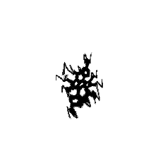 N#CC(C#N)=C1C(C#N)=C(C#N)c2c1c(-c1ccc(C#N)cc1)c1c(c2-c2ccc(C#N)cc2)C(=C(C#N)C#N)C(C#N)=C1C#N